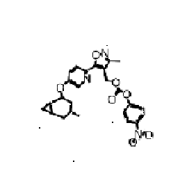 Cc1noc(-c2ccc(OC3CC(C)CC4CC43)cn2)c1COC(=O)Oc1ccc([N+](=O)[O-])cc1